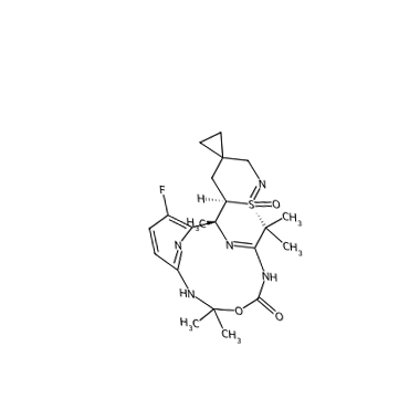 CC1(C)Nc2ccc(F)c(n2)[C@@]2(C)N=C(NC(=O)O1)C(C)(C)[S@@]1(=O)=NCC3(CC3)C[C@H]21